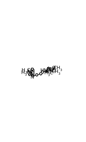 COC(=O)N[C@H](C(=O)N1CCCC1c1ncc(-c2ccc3cc(-c4ccc(-c5cnc(C6CCCN6C(=O)C(c6ccccc6)N(C)C)[nH]5)cc4)ccc3c2)[nH]1)C(C)C